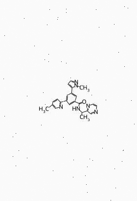 Cc1ccc(-c2cc(C(=O)NC(C)c3cnccn3)cc(-c3ccnn3C)c2)nc1